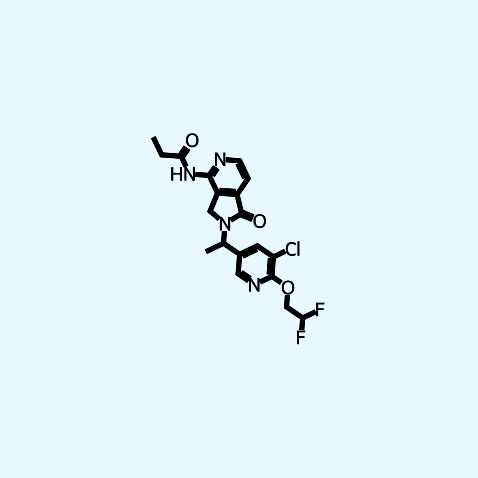 CCC(=O)Nc1nccc2c1CN(C(C)c1cnc(OCC(F)F)c(Cl)c1)C2=O